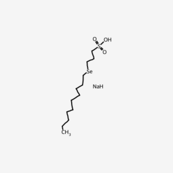 CCCCCCCCCC[Se]CCCS(=O)(=O)O.[NaH]